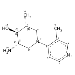 Cc1cnccc1N1C[C@@H](C)[C@H](O)[C@@H](N)C1